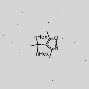 CCCCCCC(C)(CCCCCC)c1c(C)noc1C